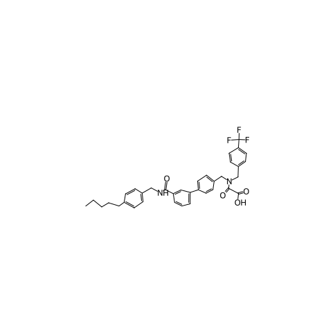 CCCCCc1ccc(CNC(=O)c2cccc(-c3ccc(CN(Cc4ccc(C(F)(F)F)cc4)C(=O)C(=O)O)cc3)c2)cc1